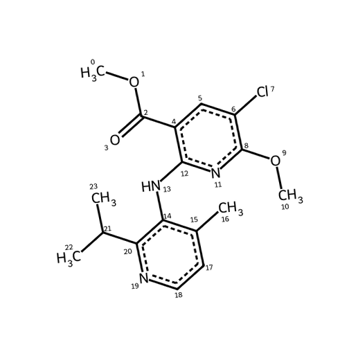 COC(=O)c1cc(Cl)c(OC)nc1Nc1c(C)ccnc1C(C)C